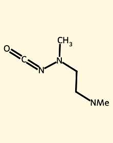 CNCCN(C)N=C=O